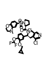 CN1CCOc2ccc(S(=O)(=O)N3CCC[C@H]3C(=O)O[C@@H](Cc3c(Cl)cncc3Cl)c3ccc(OC(F)F)c(OCC4CC4)c3)cc21